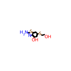 Nc1nc2c(O)cc(SCCO)cc2s1